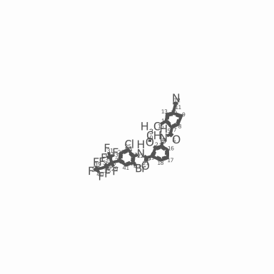 COc1c(NC(=O)c2ccc(C#N)cc2C)cccc1C(=O)Nc1c(Cl)cc(C(F)(C(F)(F)F)C(F)(F)C(F)(F)F)cc1Br